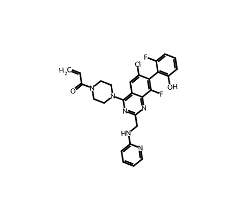 C=CC(=O)N1CCN(c2nc(CNc3ccccn3)nc3c(F)c(-c4c(O)cccc4F)c(Cl)cc23)CC1